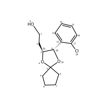 OCC[C@@H]1OC2(CCCC2)O[C@H]1c1ccccc1Cl